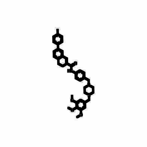 COc1cc(CN2CCN(Cc3ccc(NC(=O)C4=Cc5cc(-c6ccc(C)cc6)ccc5CC4)cc3)CC2)cc(OC)c1OC